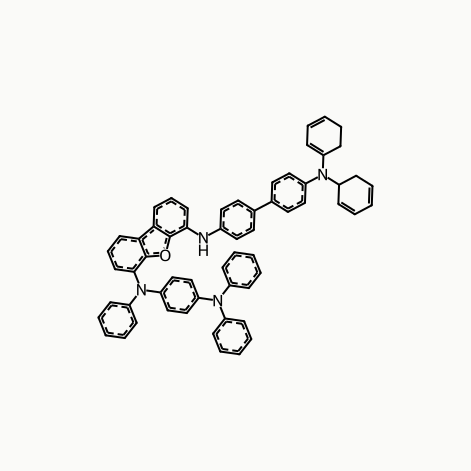 C1=CCCC(N(c2ccc(-c3ccc(Nc4cccc5c4oc4c(N(c6ccccc6)c6ccc(N(c7ccccc7)c7ccccc7)cc6)cccc45)cc3)cc2)C2C=CC=CC2)=C1